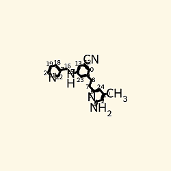 Cc1cc(N)nc(CCc2cc(C#N)cc(NCc3cccnc3)c2)c1